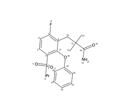 CC(C)S(=O)(=O)c1ccc(F)c(CC(C)(C)C(N)=O)c1Oc1ccccc1